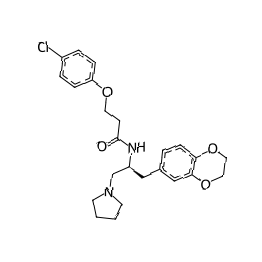 O=C(CCOc1ccc(Cl)cc1)N[C@@H](Cc1ccc2c(c1)OCCO2)CN1CCCC1